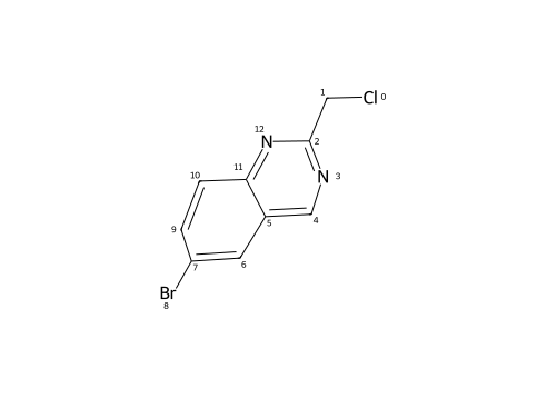 ClCc1ncc2cc(Br)ccc2n1